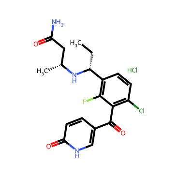 CC[C@@H](N[C@H](C)CC(N)=O)c1ccc(Cl)c(C(=O)c2ccc(=O)[nH]c2)c1F.Cl